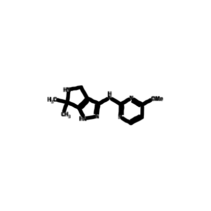 COc1ccnc(Nc2n[nH]c3c2CNC3(C)C)n1